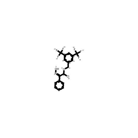 ON=C(c1ccccc1)C(Cl)OCc1cc(C(F)(F)F)cc(C(F)(F)F)c1